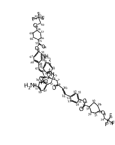 Nc1ccc(CC(CC(=O)C=Cc2ccc(OC(=O)C3CCC(OCC(F)(F)F)CC3)cc2)(Cc2ccc(N)cc2)C(O)(O)C(=O)C=Cc2ccc(OC(=O)C3CCC(OCC(F)(F)F)CC3)cc2)cc1